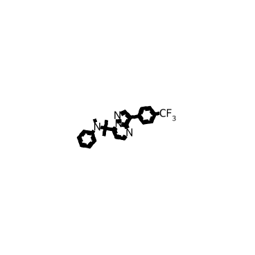 CN(c1ccccc1)C(C)(C)c1ccnc2c(-c3ccc(C(F)(F)F)cc3)cnn12